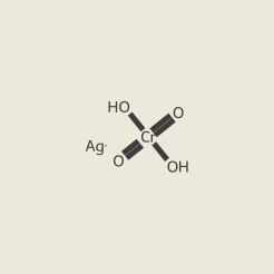 [Ag].[O]=[Cr](=[O])([OH])[OH]